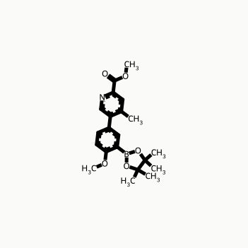 COC(=O)c1cc(C)c(-c2ccc(OC)c(B3OC(C)(C)C(C)(C)O3)c2)cn1